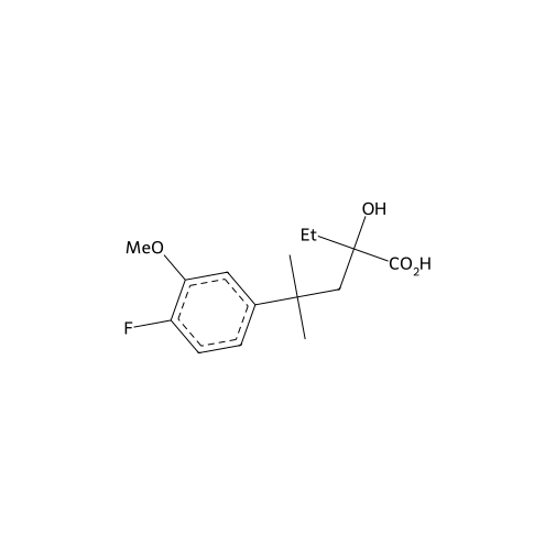 CCC(O)(CC(C)(C)c1ccc(F)c(OC)c1)C(=O)O